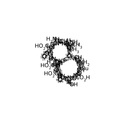 C[C@H]1NC(=O)[C@H](Cc2cccc3ccccc23)NC(=O)[C@H](CCC(=O)O)NC(=O)[C@H](CC(N)=O)NC(=O)[C@@H](C)NC(=O)[C@@H](NC(=O)[C@H](C)N)CN(C)Cc2cc3cc(c2)CN(C)C[C@@H](C(N)=O)NC(=O)[C@H](C(C)(C)C)NC(=O)[C@H](CC(=O)O)NC(=O)[C@H](CC2CC[C@@H]2O)NC(=O)[C@H](Cc2ccccc2)NC(=O)[C@H](CC(=O)O)NC(=O)[C@H](CCC(=O)O)NC(=O)[C@@H](CSC3)N1